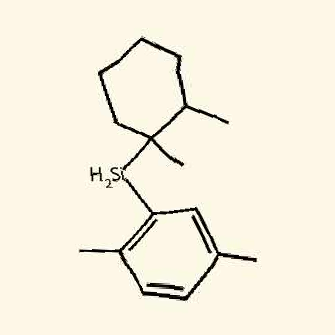 Cc1ccc(C)c([SiH2]C2(C)CCCCC2C)c1